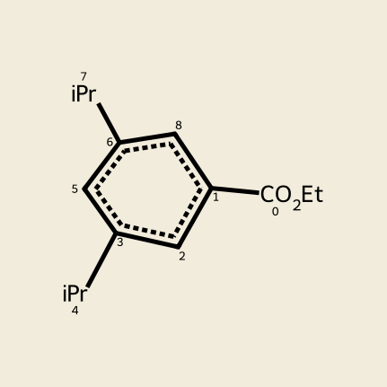 CCOC(=O)c1cc(C(C)C)cc(C(C)C)c1